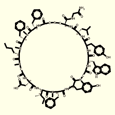 CCCC[C@H]1C(=O)N(C)CC(=O)N[C@@H](CC(=O)O)C(=O)N[C@@H]([C@@H](C)CC)C(=O)N(C)[C@@H](Cc2ccccc2)C(=O)N[C@H]2Cc3ccc(O)cc3N(CC(=O)N[C@@H](Cc3c[nH]c4ccccc34)C(=O)NC(Cc3ccc(O)cc3)C(=O)N[C@@H](CC(C)C)C(=O)N[C@H](C(=O)NCC(N)=O)CSCC(=O)N[C@@H](Cc3ccccc3)C(=O)N(C)[C@@H](Cc3ccccc3)C(=O)N1C)C2=O